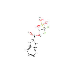 O=C(OCC(F)(F)S(=O)(=O)O)C1Cc2ccccc2C1